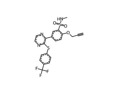 C#CCOc1ccc(-c2nccnc2Sc2ccc(C(F)(F)F)cc2)cc1S(=O)(=O)NC